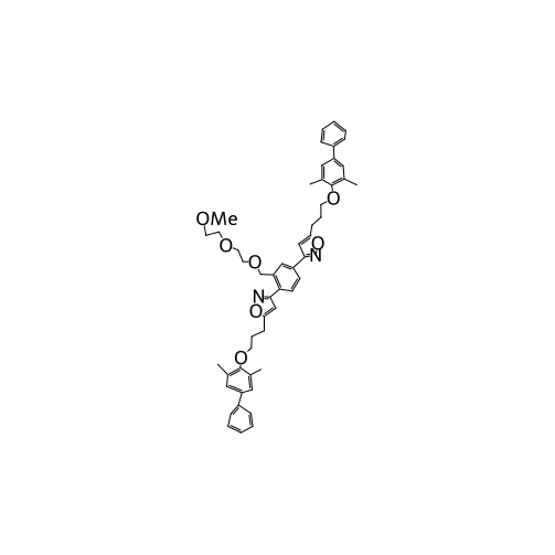 COCCOCCOCc1cc(-c2cc(CCCOc3c(C)cc(-c4ccccc4)cc3C)on2)ccc1-c1cc(CCCOc2c(C)cc(-c3ccccc3)cc2C)on1